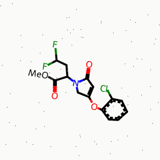 COC(=O)C(CC(F)F)N1CC(Oc2ccccc2Cl)=CC1=O